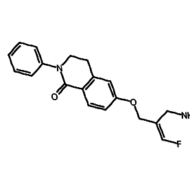 NC/C(=C\F)COc1ccc2c(c1)CCN(c1ccccc1)C2=O